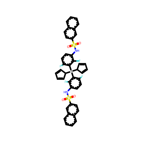 O=S(=O)(Nc1ccc(F)[c]([Ti]([c]2c(F)ccc(NS(=O)(=O)c3ccc4ccccc4c3)c2F)([CH]2C=CC=C2)[CH]2C=CC=C2)c1F)c1ccc2ccccc2c1